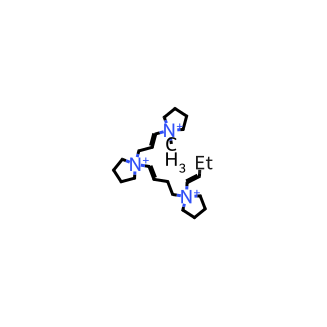 CC/C=C/[N+]1(CC/C=C/[N+]2(C/C=C/[N+]3(C)CCCC3)CCCC2)CCCC1